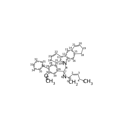 C=C(/C=C\CC)/N=C(\Cn1c2c(c3cc4c(cc31)CCC=C4)C=CCC2)c1ccc(-c2ccccc2)c(OC)c1